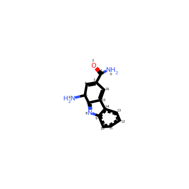 NC(=O)C1=CC(N)C2=Nc3ccccc3C2=C1